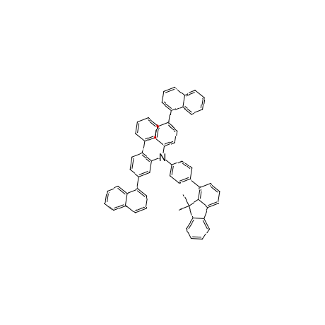 CC1(C)c2ccccc2-c2cccc(-c3ccc(N(c4ccc(-c5cccc6ccccc56)cc4)c4cc(-c5cccc6ccccc56)ccc4-c4ccccc4)cc3)c21